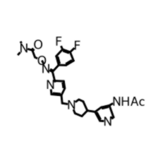 CC(=O)Nc1cncc(C2CCN(Cc3ccc(/C(=N/OCC(=O)N(C)C)c4ccc(F)c(F)c4)nc3)CC2)c1